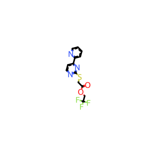 O=C(CSc1nccc(-c2ccccn2)n1)OCC(F)(F)F